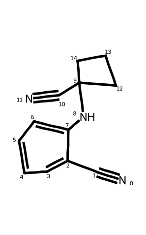 N#Cc1ccccc1NC1(C#N)CCC1